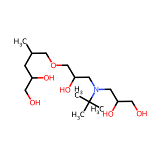 CC(COCC(O)CN(CC(O)CO)C(C)(C)C)CC(O)CO